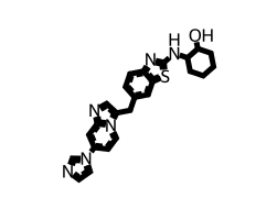 OC1CCCCC1Nc1nc2ccc(Cc3cnc4cc(-n5ccnc5)ccn34)cc2s1